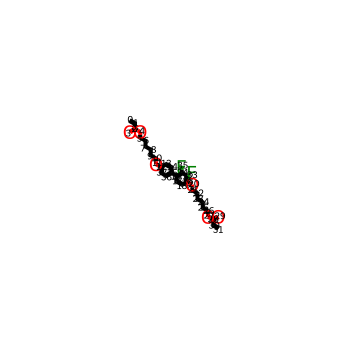 C=CC(=O)OCCCCCCOc1ccc(-c2ccc(OCCCCCCOC(=O)C=C)c(F)c2F)cc1